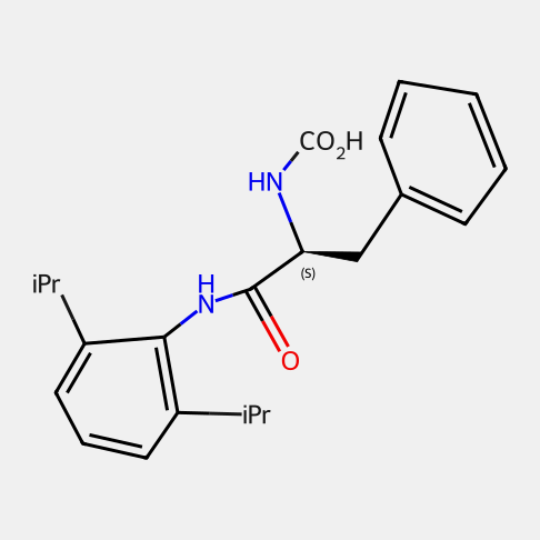 CC(C)c1cccc(C(C)C)c1NC(=O)[C@H](Cc1ccccc1)NC(=O)O